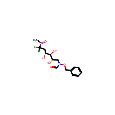 C[PH](=O)C(F)(F)C[C@@H](O)[C@@H](O)[C@@H](O)CN(C=O)OCc1ccccc1